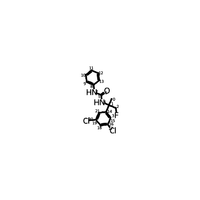 CC(CF)(NC(=O)Nc1ccccc1)c1cc(Cl)cc(Cl)c1